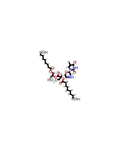 CCCCCCCCCCCCCCCCCC(=O)OCC(C)OC(=O)C(CC(=O)O)(C[C@H]1CNC[C@H](n2cc(C)c(=O)[nH]c2=O)O1)OC(=O)CCCCCCCCCCCCCCCCC